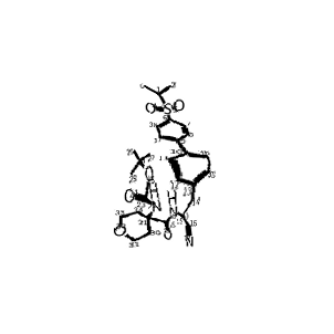 CC(C)S(=O)(=O)c1ccc(-c2ccc(C[C@@H](C#N)NC(=O)C3(NC(=O)OC(C)(C)C)CCOCC3)cc2)cc1